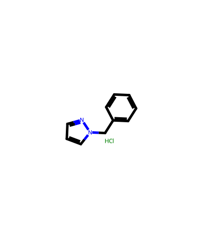 Cl.c1ccc(Cn2cccn2)cc1